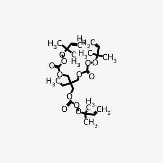 C=CC(C)(C)OOC(=O)OCC(CC)(COC(=O)OOC(C)(C)C=C)COC(=O)OOC(C)(C)C=C